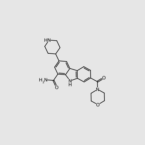 NC(=O)c1cc(C2CCNCC2)cc2c1[nH]c1cc(C(=O)N3CCOCC3)ccc12